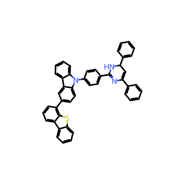 C1=C(c2ccccc2)N=C(c2ccc(-n3c4ccccc4c4cc(-c5cccc6c5sc5ccccc56)ccc43)cc2)NC1c1ccccc1